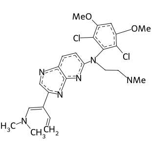 C=C/C(=C\N(C)C)c1cnc2ccc(N(CCNC)c3c(Cl)c(OC)cc(OC)c3Cl)nc2n1